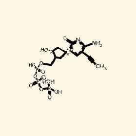 CC#Cc1cn([C@@H]2CC(COP(=O)(O)OP(=O)(O)OP(=O)(O)O)[C@H](O)C2)c(=O)nc1N